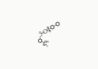 N=C(N)c1cccc(CCC(=O)N2CCN(S(=O)(=O)c3ccc(-c4ccccc4)cc3)CC2)c1